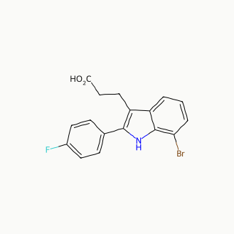 O=C(O)CCc1c(-c2ccc(F)cc2)[nH]c2c(Br)cccc12